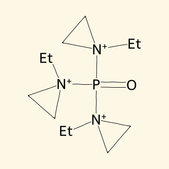 CC[N+]1(P(=O)([N+]2(CC)CC2)[N+]2(CC)CC2)CC1